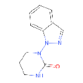 O=C1NCCCN1n1ncc2ccccc21